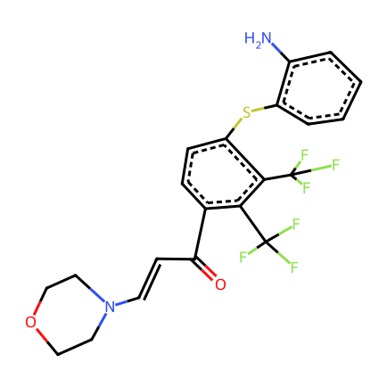 Nc1ccccc1Sc1ccc(C(=O)C=CN2CCOCC2)c(C(F)(F)F)c1C(F)(F)F